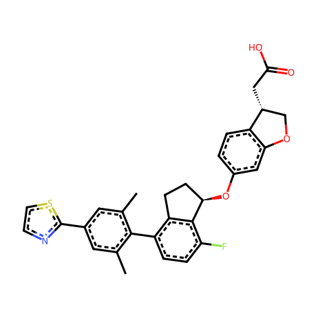 Cc1cc(-c2nccs2)cc(C)c1-c1ccc(F)c2c1CC[C@H]2Oc1ccc2c(c1)OC[C@H]2CC(=O)O